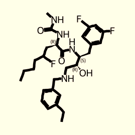 CCCCC(F)C[C@@H](NC(=O)NC)C(=O)N[C@@H](Cc1cc(F)cc(F)c1)[C@H](O)CNCc1cccc(CC)c1